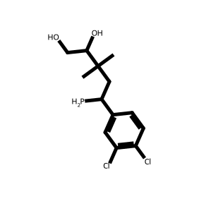 CC(C)(CC(P)c1ccc(Cl)c(Cl)c1)C(O)CO